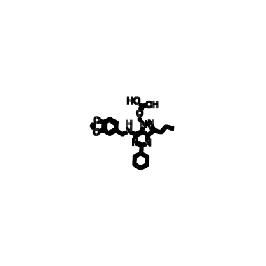 CCCc1nn(C)c2c(NCc3ccc4c(c3)OCO4)nc(C3CCCCC3)nc12.O=C(O)O